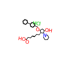 Cl.O=C(O)CCC=CCC[C@@H]1[C@@H](N2CCCCC2)[C@@H](O)C[C@@H]1OCc1ccc(-c2ccccc2)cc1